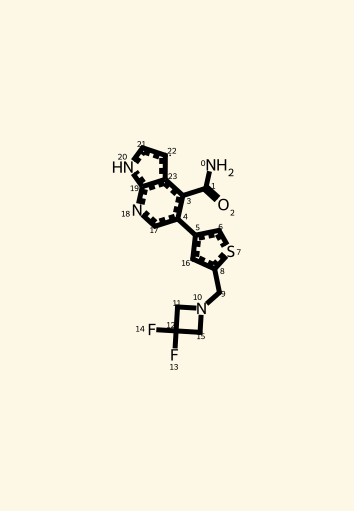 NC(=O)c1c(-c2csc(CN3CC(F)(F)C3)c2)cnc2[nH]c[c]c12